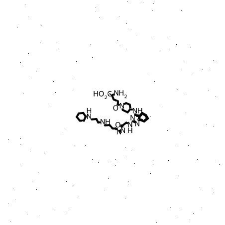 N[C@@H](CCC(=O)N1CCC(Nc2nc(NCc3nnc(CCCNCCCNC4CCCCC4)o3)nc3ccccc23)CC1)C(=O)O